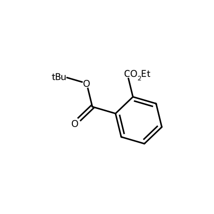 CCOC(=O)c1ccccc1C(=O)OC(C)(C)C